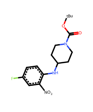 CC(C)(C)OC(=O)N1CCC(Nc2ccc(F)cc2[N+](=O)[O-])CC1